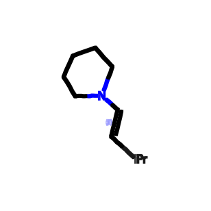 CC(C)/C=C/N1CCCCC1